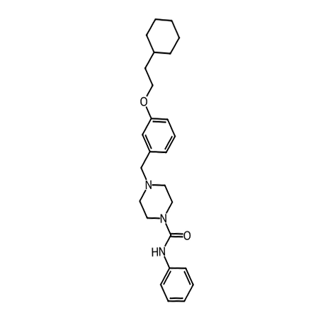 O=C(Nc1ccccc1)N1CCN(Cc2cccc(OCCC3CCCCC3)c2)CC1